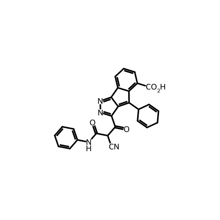 N#CC(C(=O)Nc1ccccc1)C(=O)C1=NN=C2C1=C(C1C=CCC=C1)c1c(C(=O)O)cccc12